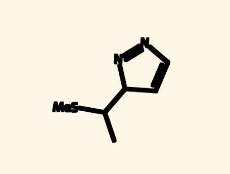 CSC(C)C1C=CN=N1